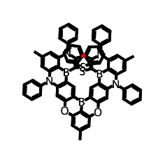 Cc1cc2c3c(c1)Oc1cc4c(cc1B3c1cc3c(cc1O2)N(c1ccccc1)c1cc(C)cc2c1B3c1sc3ccccc3c1N2c1ccccc1)B1c2sc3ccccc3c2N(c2ccccc2)c2cc(C)cc(c21)N4c1ccccc1